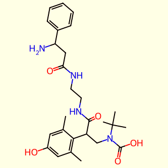 Cc1cc(O)cc(C)c1C(CN(C(=O)O)C(C)(C)C)C(=O)NCCNC(=O)CC(N)c1ccccc1